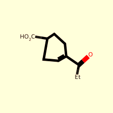 CCC(=O)C1=CCC(C(=O)O)CC1